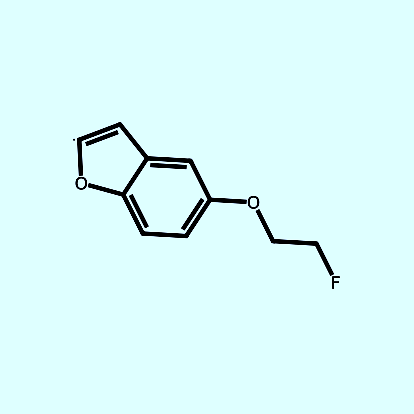 FCCOc1ccc2o[c]cc2c1